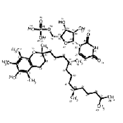 Cc1c(C)c2c(c(C)c1O)CC[C@@](C)(CCC[C@H](C)CCC[C@H](C)CCCC(C)C)O2.O=c1ccn([C@@H]2O[C@H](COP(=O)(O)O)[C@@H](O)[C@H]2O)c(=O)[nH]1